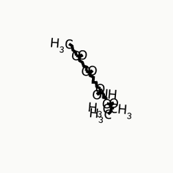 CCCCOC(=O)CCCCOC(=O)CCCCCOC(=O)NCCOC(=O)C(C)(C)CC